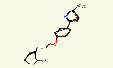 CCCCCCCCCCc1ccc(-c2ccc(OCCCC3CCCCC3CCC)cc2)nc1